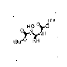 CC(C)(C)OC(=O)NC(=N)N(O)C(=O)OC(C)(C)C